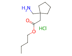 CCCCOC(=O)CC1(CN)CCCC1.Cl